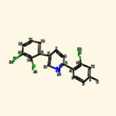 Cc1ccc(-c2ccc(-c3cccc(F)c3F)cn2)c(F)c1